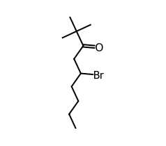 CCCCC(Br)CC(=O)C(C)(C)C